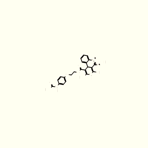 COC(=O)C1=C(C)NC(C)=C(C(=O)OCCOc2ccc(NC(C)=O)cc2)C1c1ccccc1[N+](=O)[O-]